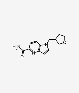 NC(=O)c1ccc2c(ccn2CC2CCOC2)n1